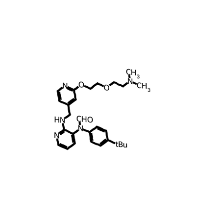 CN(C)CCOCCOc1cc(CNc2ncccc2N(C=O)c2ccc(C(C)(C)C)cc2)ccn1